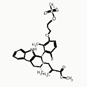 COC(=O)C(C)CN1[C@H](c2c(F)ccc(OCCOS(C)(=O)=O)c2C)c2[nH]c3ccccc3c2C[C@H]1C